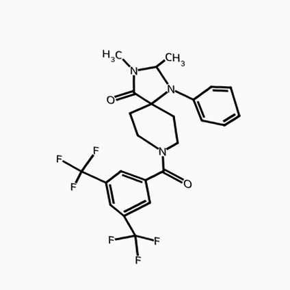 CC1N(C)C(=O)C2(CCN(C(=O)c3cc(C(F)(F)F)cc(C(F)(F)F)c3)CC2)N1c1ccccc1